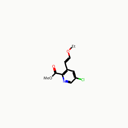 CCO/C=C/c1cc(Cl)cnc1C(=O)OC